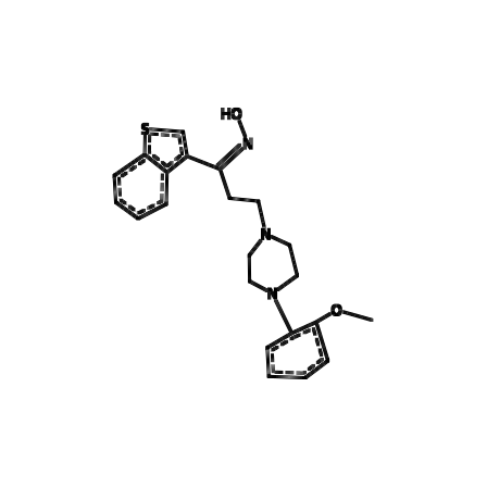 COc1ccccc1N1CCN(CC/C(=N/O)c2csc3ccccc23)CC1